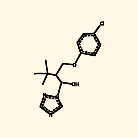 CC(C)(C)C(COc1ccc(Cl)cc1)C(O)n1cncn1